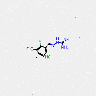 Cl.N=C(N)NN=Cc1cccc(C(F)(F)F)c1F